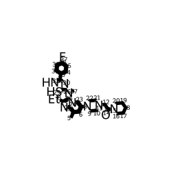 CCc1nc2c(C)cc(N3CCN(CC(=O)N4CCCCC4)CC3)cn2c1N(C)/C(S)=N/C(=N)c1ccc(F)cc1